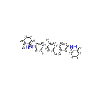 Cc1ccccc1Nc1ccc(-c2cc(C)c(-c3ccc(Nc4ccccc4C)cc3C)cc2C)c(C)c1